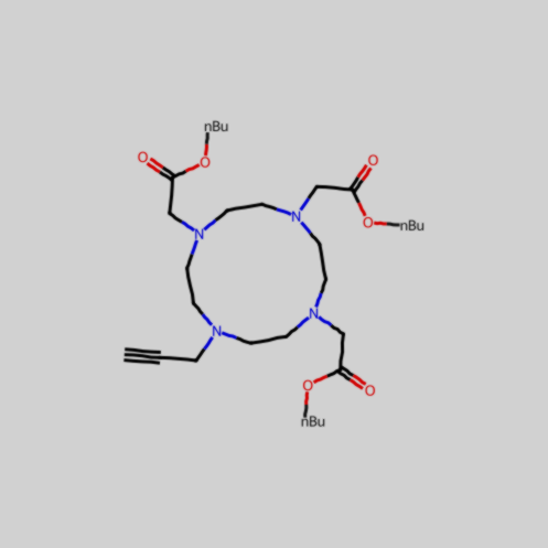 C#CCN1CCN(CC(=O)OCCCC)CCN(CC(=O)OCCCC)CCN(CC(=O)OCCCC)CC1